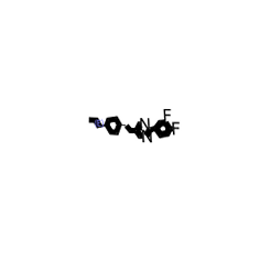 C/C=C/[C@H]1CC[C@H](CCc2cnc(-c3ccc(F)c(F)c3)nc2)CC1